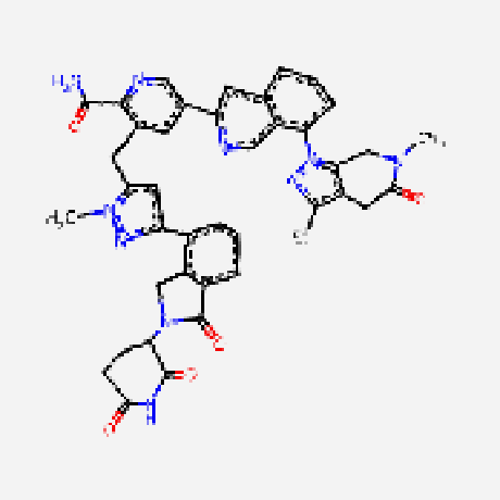 CCc1nn(-c2cccc3cc(-c4cnc(C(N)=O)c(Cc5cc(-c6cccc7c6CN(C6CCC(=O)NC6=O)C7=O)nn5C)c4)ncc23)c2c1CC(=O)N(C)C2